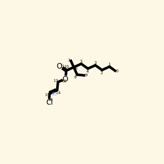 CCCCCCC(C)(CC)C(=O)OC/C=C/Cl